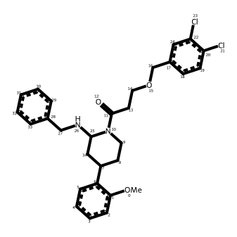 COc1ccccc1C1CCN(C(=O)CCOCc2ccc(Cl)c(Cl)c2)C(NCc2ccccc2)C1